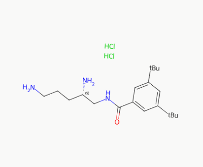 CC(C)(C)c1cc(C(=O)NC[C@@H](N)CCCN)cc(C(C)(C)C)c1.Cl.Cl